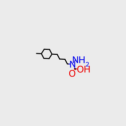 CC1CCC(CCCCN(N)C(=O)O)CC1